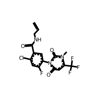 C=CCNC(=O)c1cc(-n2c(=O)cc(C(F)(F)F)n(C)c2=O)c(F)cc1Cl